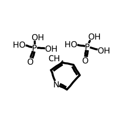 C.O=P(O)(O)O.O=P(O)(O)O.c1ccncc1